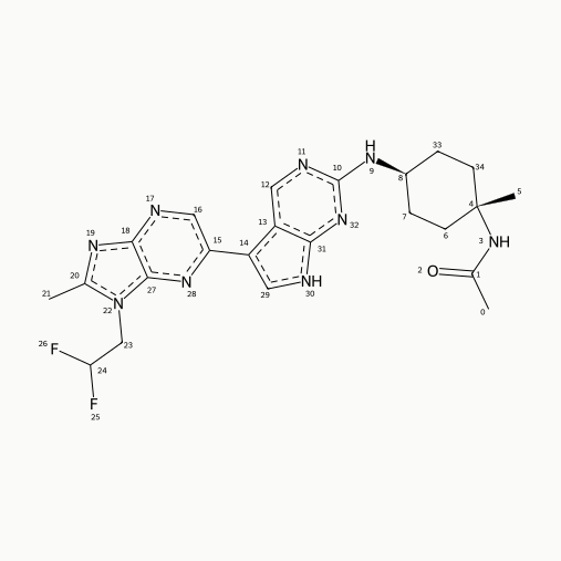 CC(=O)N[C@]1(C)CC[C@@H](Nc2ncc3c(-c4cnc5nc(C)n(CC(F)F)c5n4)c[nH]c3n2)CC1